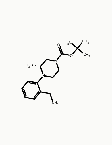 C[C@@H]1CN(C(=O)OC(C)(C)C)CCN1c1ccccc1CN